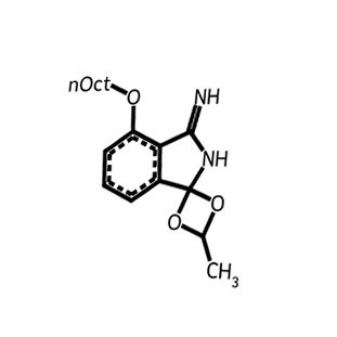 CCCCCCCCOc1cccc2c1C(=N)NC21OC(C)O1